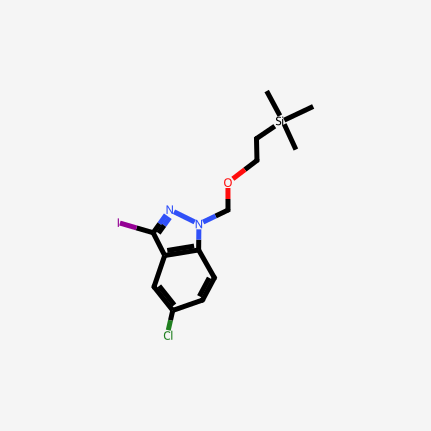 C[Si](C)(C)CCOCn1nc(I)c2cc(Cl)ccc21